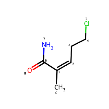 CC(=CCCCl)C(N)=O